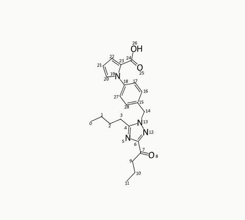 CCCCc1nc(C(=O)CCC)nn1Cc1ccc(-n2cccc2C(=O)O)cc1